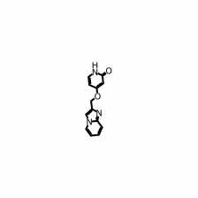 O=c1cc(OCc2cn3ccccc3n2)cc[nH]1